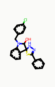 OC1N(Cc2ccc(Cl)cc2)c2ccccc2C12NN=C(c1ccccc1)S2